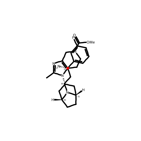 COC(=O)N1CCc2c(nc(C)n2[C@H]2C[C@H]3CC[C@@H](C2)N3CC[C@H](N)c2cccc(F)c2)C1